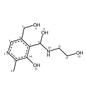 Cc1ncc(CO)c(C(O)NCCO)c1O